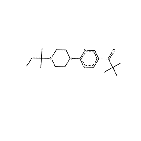 CCC(C)(C)N1CCN(c2ncc(C(=O)C(C)(C)C)cn2)CC1